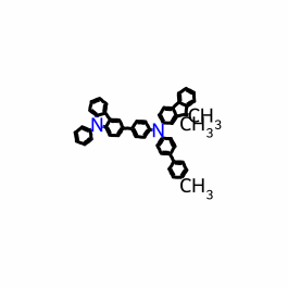 Cc1ccc(-c2ccc(N(c3ccc(-c4ccc5c(c4)c4ccccc4n5-c4ccccc4)cc3)c3ccc4c(c3)C(C)(C)c3ccccc3-4)cc2)cc1